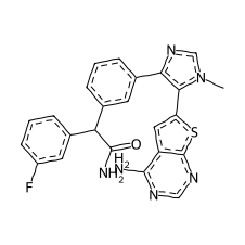 Cn1cnc(-c2cccc(C(C(N)=O)c3cccc(F)c3)c2)c1-c1cc2c(N)ncnc2s1